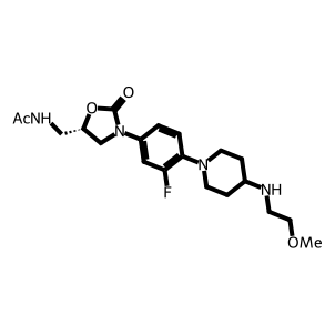 COCCNC1CCN(c2ccc(N3C[C@H](CNC(C)=O)OC3=O)cc2F)CC1